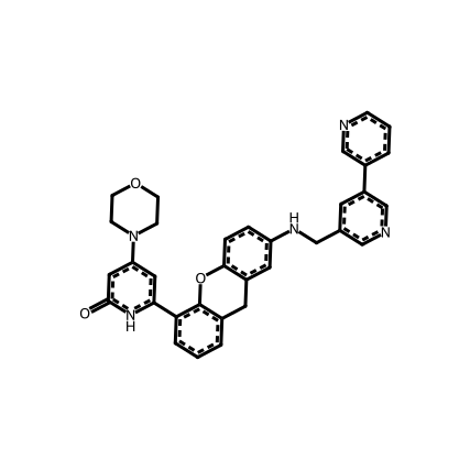 O=c1cc(N2CCOCC2)cc(-c2cccc3c2Oc2ccc(NCc4cncc(-c5cccnc5)c4)cc2C3)[nH]1